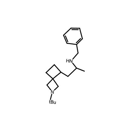 CC(CC1CCC12CN(C(C)(C)C)C2)NCc1ccccc1